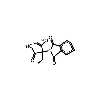 CCC(C(=O)O)(C(=O)O)N1C(=O)c2ccccc2C1=O